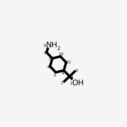 CC(C)(O)C1CCC(CN)CC1